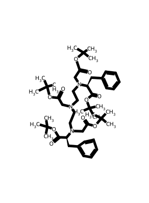 CC(C)(C)OC(=O)CN(CCN(CC(=O)OC(C)(C)C)[C@@H](Cc1ccccc1)C(=O)OC(C)(C)C)CCN(CC(=O)OC(C)(C)C)[C@@H](Cc1ccccc1)C(=O)OC(C)(C)C